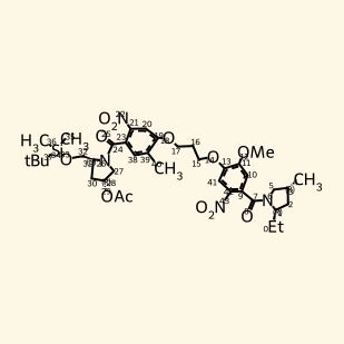 CC[C@@H]1C[C@@H](C)CN1C(=O)c1cc(OC)c(OCCCOc2cc([N+](=O)[O-])c(C(=O)N3C[C@H](OC(C)=O)C[C@H]3CO[Si](C)(C)C(C)(C)C)cc2C)cc1[N+](=O)[O-]